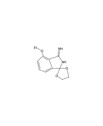 CCOc1cccc2c1C(=N)NC21OCCO1